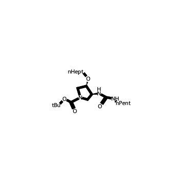 CCCCCCCO[C@H]1CN(C(=O)OC(C)(C)C)C[C@@H]1NC(=O)NCCCCC